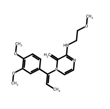 C=C1C(NCCOC)=NC=CN1/C(=C\C)c1ccc(OC)c(OC)c1